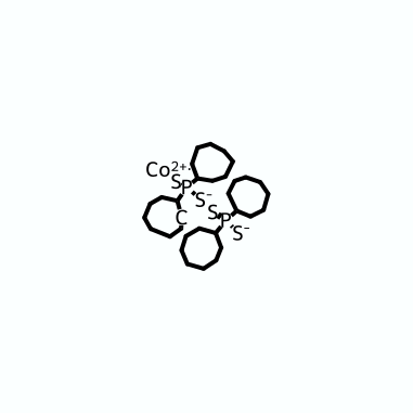 S=P([S-])(C1CCCCCCC1)C1CCCCCCC1.S=P([S-])(C1CCCCCCC1)C1CCCCCCC1.[Co+2]